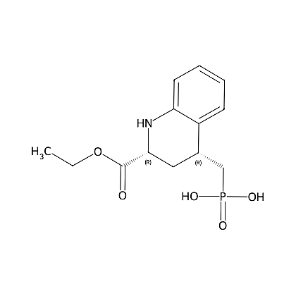 CCOC(=O)[C@H]1C[C@@H](CP(=O)(O)O)c2ccccc2N1